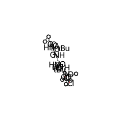 CC(C)(C)OC(=O)N[C@@H](CCCCNC(=O)CC[C@H](NC(=O)OCC1c2ccccc2-c2ccccc21)C(=O)OC(C)(C)C)C(=O)NCCCC[C@H](NC(=O)OCc1ccccc1)C(=O)OC(c1ccccc1)(c1ccccc1)c1ccccc1Cl